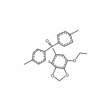 CCOc1cc(P(=O)(c2ccc(C)cc2)c2ccc(C)cc2)c(I)c2c1OCO2